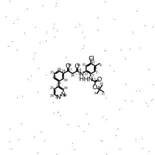 Cc1cc(NC(=O)OC(C)(C)C)c(NC(=O)CC(=O)c2cccc(-c3ccnnc3)c2)cc1Cl